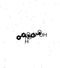 O=C(O)CCN1CCC(OC(=O)Nc2cccc(-c3ccccc3)c2)CC1